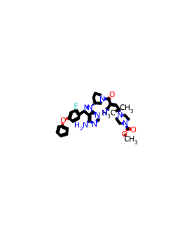 COC(=O)N1CCN(C(C)(C)C=C(C#N)C(=O)N2CCC[C@H](n3nc(-c4ccc(Oc5ccccc5)cc4F)c4c(N)ncnc43)C2)CC1